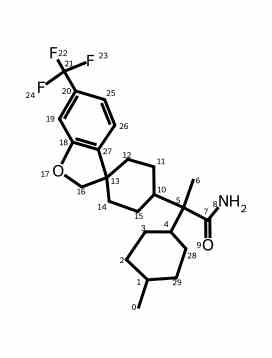 CC1CCC(C(C)(C(N)=O)C2CCC3(CC2)COc2cc(C(F)(F)F)ccc23)CC1